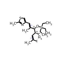 CC[Si](CC)(CC)O[C@H](/C(C)=C/c1csc(C)n1)[C@@H](C)/C=C(/C)I